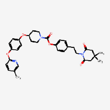 Cc1ccc(Oc2ccc(OC3CCN(C(=O)Oc4ccc(CCN5C(=O)CC(C)(C)CC5=O)cc4)CC3)cc2)nc1